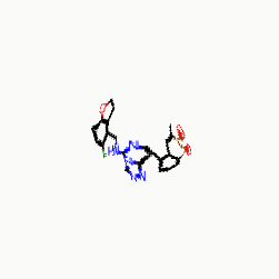 CC1=Cc2c(-c3cnc(NCc4c(F)ccc5c4CCO5)n4cnnc34)cccc2S1(=O)=O